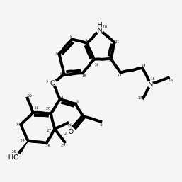 CC(=O)/C=C(/Oc1ccc2[nH]cc(CCN(C)C)c2c1)C1=C(C)C[C@H](O)CC1(C)C